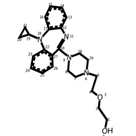 OCCOCCN1CCN(C2=Nc3ccccc3N(C3CC3)c3ccccc32)CC1